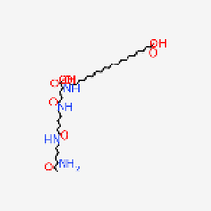 CC(=O)C(N)CCCCNC(=O)CCCCCNC(=O)CCC(NC(=O)CCCCCCCCCCCCCCCCCCC(=O)O)C(=O)O